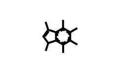 CC1=CC(C)c2c(C)c(C)c(C)c(C)c21